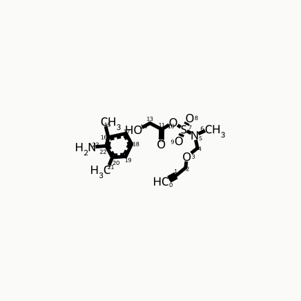 C#CCOCN(C)S(=O)(=O)OC(=O)CO.Cc1cccc(C)c1N